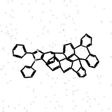 c1ccc(-c2nc3cc(-c4ccc5c(c4)C4(c6ccccc6-c6ccccc6-5)c5ccccc5-c5cc6ccccc6cc54)ccc3n2-c2ccccc2)cc1